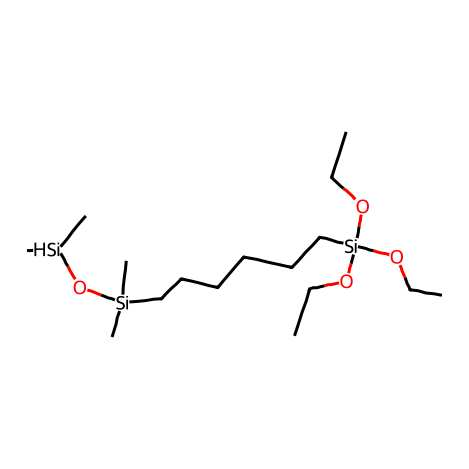 CCO[Si](CCCCCC[Si](C)(C)O[SiH](C)C)(OCC)OCC